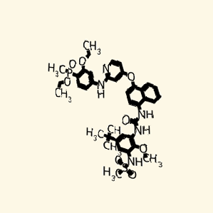 CCOc1cc(Nc2cc(Oc3ccc(NC(=O)Nc4cc(C(C)(C)C)cc(NS(C)(=O)=O)c4OC)c4ccccc34)ccn2)ccc1P(C)(=O)OCC